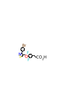 O=C(O)CCc1cc(F)c(OCc2csnc2-c2ccc(Br)cc2)c(F)c1